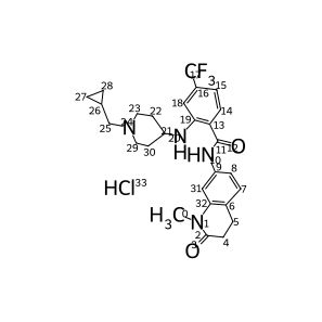 CN1C(=O)CCc2ccc(NC(=O)c3ccc(C(F)(F)F)cc3NC3CCN(CC4CC4)CC3)cc21.Cl